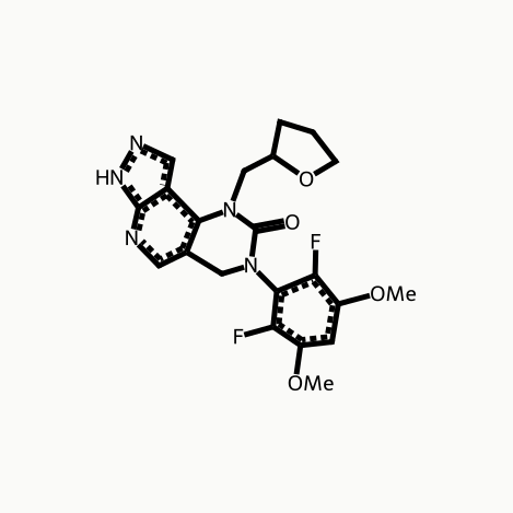 COc1cc(OC)c(F)c(N2Cc3cnc4[nH]ncc4c3N(CC3CCCO3)C2=O)c1F